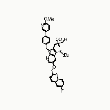 COc1ccc(-c2ccc(Cn3c(CC(C)(C)C(=O)O)c(SC(C)(C)C)c4cc(OCc5ccc6cc(F)ccc6n5)cnc43)cc2)cn1